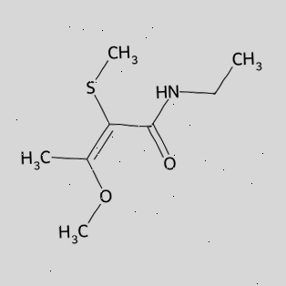 CCNC(=O)/C(SC)=C(/C)OC